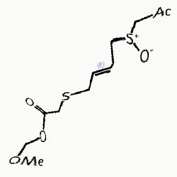 COCOC(=O)CSC/C=C/C[S+]([O-])CC(C)=O